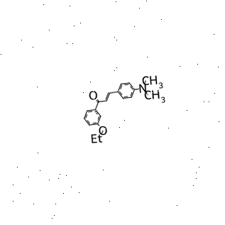 CCOc1cccc(C(=O)C=Cc2ccc(N(C)C)cc2)c1